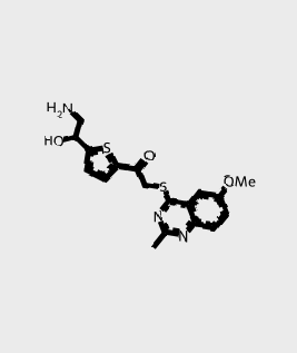 COc1ccc2nc(C)nc(SCC(=O)c3ccc(C(O)CN)s3)c2c1